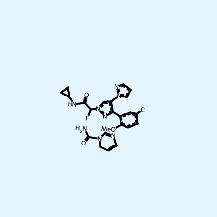 COc1ccc(Cl)cc1-c1nn(C(F)C(=O)NC2CC2)cc1-n1cccn1.NC(=O)N1C=NC=CC1